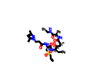 C=CCS(=O)(=O)C[C@H](NC(=O)CCn1nc(C)cc1C)C(=O)N[C@H](CC(C)C)[C@@H](O)C[C@@H](C)C(=O)N[C@@H](C(=O)NCC(C)C)C(C)C